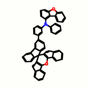 c1ccc(N(c2cccc(-c3ccc4c(c3)-c3ccccc3C43c4ccc5ccccc5c4Oc4c3ccc3ccccc43)c2)c2cccc3oc4ccccc4c23)cc1